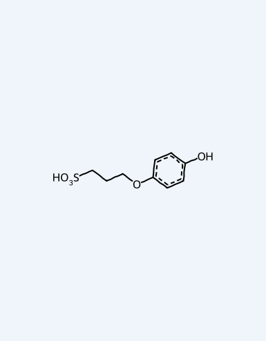 O=S(=O)(O)CCCOc1ccc(O)cc1